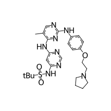 Cc1cnc(Nc2ccc(OCCN3CCCC3)cc2)nc1Nc1cc(NS(=O)(=O)C(C)(C)C)ncn1